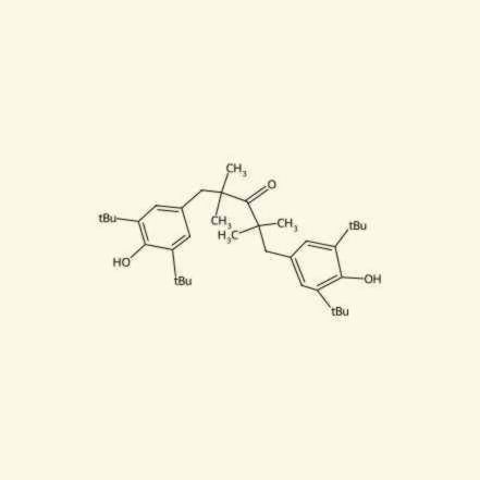 CC(C)(Cc1cc(C(C)(C)C)c(O)c(C(C)(C)C)c1)C(=O)C(C)(C)Cc1cc(C(C)(C)C)c(O)c(C(C)(C)C)c1